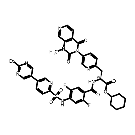 CCc1ncc(-c2ccc(S(=O)(=O)Nc3cc(F)c(C(=O)N[C@@H](Cc4ccc(-n5c(=O)c6ccncc6n(C)c5=O)cn4)C(=O)OC4CCCCC4)cc3F)nc2)cn1